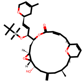 C=C1C[C@H](C)C[C@@H]2CC=C[C@@H](C/C=C\C(=O)O[C@H]([C@H](/C=C/[C@@H]3CC(C)=CCO3)O[Si](C)(C)C(C)(C)C)C[C@@H]3O[C@H]3[C@@H](O)C1)O2